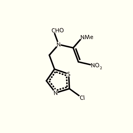 CNC(=C[N+](=O)[O-])N(C=O)Cc1cnc(Cl)s1